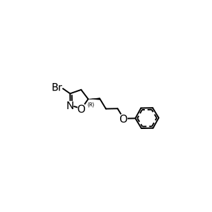 BrC1=NO[C@H](CCCOc2ccccc2)C1